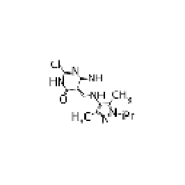 Cc1nn(C(C)C)c(C)c1N/C=C1\C(=N)N=C(Cl)NC1=O